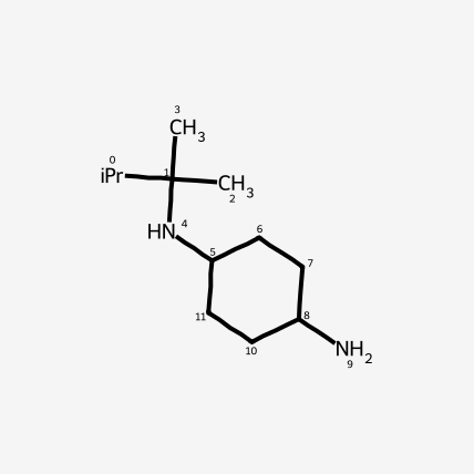 CC(C)C(C)(C)NC1CCC(N)CC1